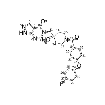 Cc1nc2[nH]ncc2c(=O)n1CC1(O)CCN(C(=O)c2ccc(Oc3ccc(F)cc3)cc2)CC1